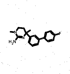 CN1CCC(C)(c2cccc(-c3ccc(F)cc3)c2)N=C1N